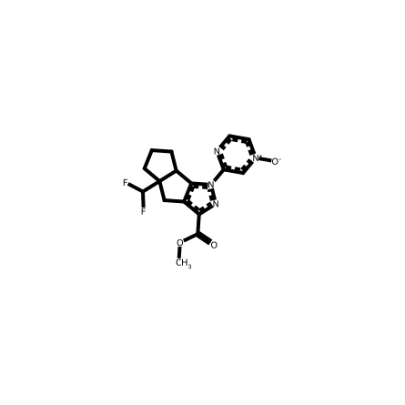 COC(=O)c1nn(-c2c[n+]([O-])ccn2)c2c1CC1(C(F)F)CCCC21